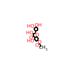 CCC(=O)Oc1cc(O)c2c(=O)c(O)c(-c3ccc(O)c(O)c3)oc2c1